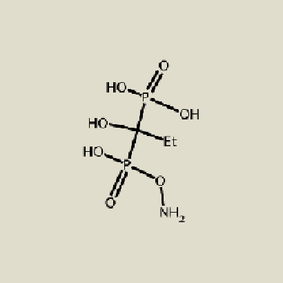 CCC(O)(P(=O)(O)O)P(=O)(O)ON